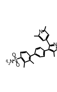 Cc1cc(-c2n[nH]c(C)c2-c2ccc(-c3ccc(S(N)(=O)=O)c(C)c3C)cc2)cc(C)n1